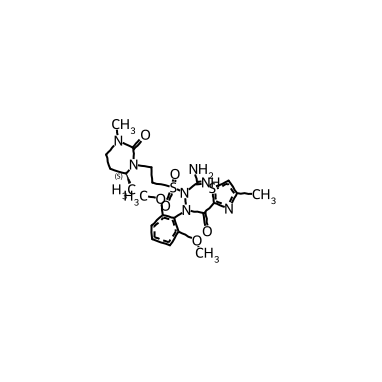 COc1cccc(OC)c1N(C(=O)c1nc(C)cs1)N(C(=N)N)S(=O)(=O)CCN1C(=O)N(C)CC[C@@H]1C